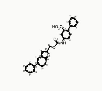 O=C(Nc1ccc(-c2ccccc2)c(C(=O)O)c1)OCc1cc2cc(-c3ccccc3)ccc2o1